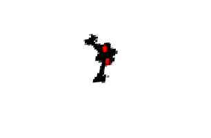 CCO[Si](CCCOCc1cccc(-c2c3ccccc3c(-c3cccc(COCCC[Si](OCC)(OCC)OCC)c3)c3c(-c4ccccc4)c4ccccc4c(-c4ccccc4)c23)c1)(OCC)OCC